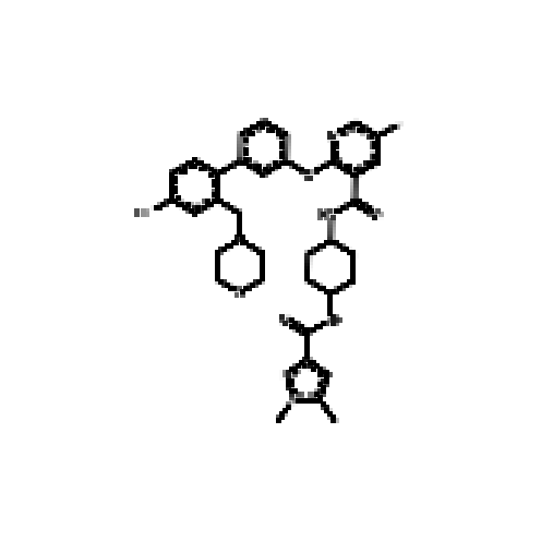 Cc1cc(C(=O)NC2CCC(NC(=O)c3cc(F)cnc3Oc3cccc(-c4ccc(O)cc4CN4CCOCC4)c3)CC2)nn1C